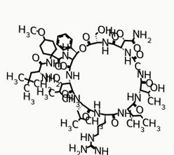 CC[C@H](C)C1NC(=O)[C@@H](CCCNC(=N)N)NC(=O)[C@H](CC(C)C)NC(=O)[C@H]([C@H](O)C(C)C)NC(=O)C(NC(=O)C2(NC(=O)[C@H](N)CC(C)(C)C)CCC(OC)CC2)[C@@H](c2ccccc2)OC(=O)[C@H](CO)NC(=O)[C@H]([C@H](O)C(N)=O)NC(=O)CNC(=O)[C@H]([C@H](C)O)NC1=O